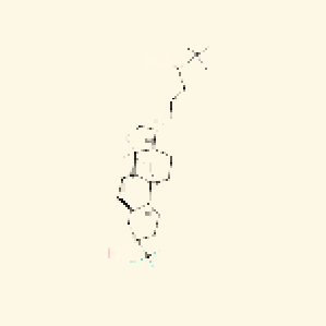 CC(C)(C)C(O)CCC[C@H]1CC[C@H]2[C@@H]3CC=C4C[C@](O)(C(F)(F)F)CC[C@]4(C)[C@H]3CC[C@]12C